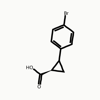 O=C(O)[C@@H]1CC1c1ccc(Br)cc1